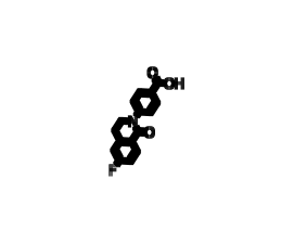 O=C(O)c1ccc(N2CCc3cc(F)ccc3C2=O)cc1